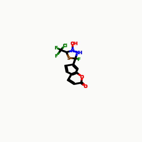 O=c1ccc2ccc(C3(F)NN(O)C(C(F)(F)Cl)S3)cc2o1